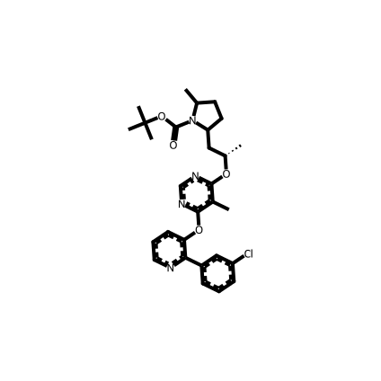 Cc1c(Oc2cccnc2-c2cccc(Cl)c2)ncnc1O[C@@H](C)CC1CCC(C)N1C(=O)OC(C)(C)C